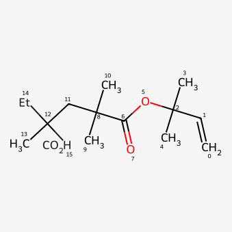 C=CC(C)(C)OC(=O)C(C)(C)CC(C)(CC)C(=O)O